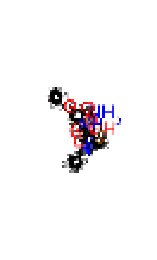 NS(=O)(=O)c1cc(OCc2ccccc2)ccc1NC(=O)c1c(O)c2sccc2n(/N=C/c2ccccc2)c1=O